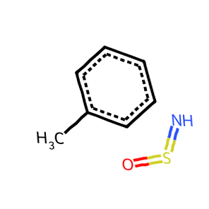 Cc1ccccc1.N=S=O